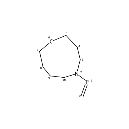 C=PN1CCCCCCCC1